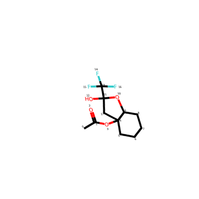 CC(=O)OC12CCCCC1OC(O)(C(F)(F)F)C2